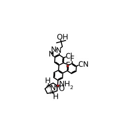 CC(C)(O)Cn1nnc2cc(-c3ccc(C(=O)N4[C@@H]5CC[C@H]4C[C@@H](N)C5)cc3-c3ccc(C#N)c(F)c3)c(F)c(Cl)c21